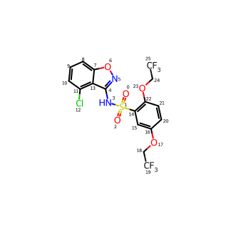 O=S(=O)(Nc1noc2cccc(Cl)c12)c1cc(OCC(F)(F)F)ccc1OCC(F)(F)F